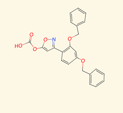 O=C(O)Oc1cc(-c2ccc(OCc3ccccc3)cc2OCc2ccccc2)no1